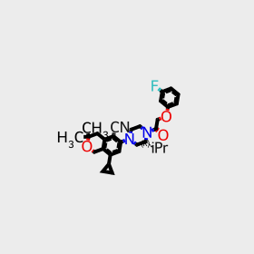 CC(C)[C@@H]1CN(c2cc(C3CC3)c3c(c2C#N)CC(C)(C)OC3)CCN1C(=O)COc1cccc(F)c1